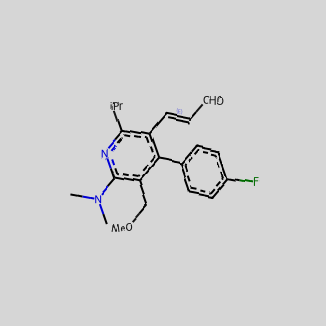 COCc1c(N(C)C)nc(C(C)C)c(/C=C/C=O)c1-c1ccc(F)cc1